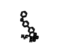 CC1NS(=O)(=O)Oc2ccc(-c3ccc(Oc4ccccc4)cc3)cc21